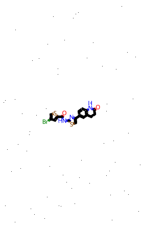 O=C1CCc2cc(-c3csc(NC(=O)c4cc(Br)cs4)n3)ccc2N1